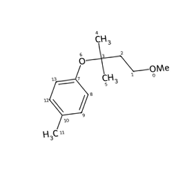 COCCC(C)(C)Oc1ccc(C)cc1